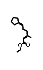 CCOC(=O)C=C(C)CCC=C1CCCC1